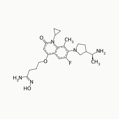 Cc1c(N2CCC([C@H](C)N)C2)c(F)cc2c(OCCCC(N)=NO)cc(=O)n(C3CC3)c12